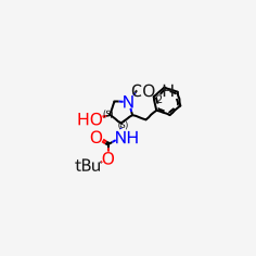 CC(C)(C)OC(=O)N[C@H]1C(Cc2ccccc2)N(C(=O)O)C[C@@H]1O